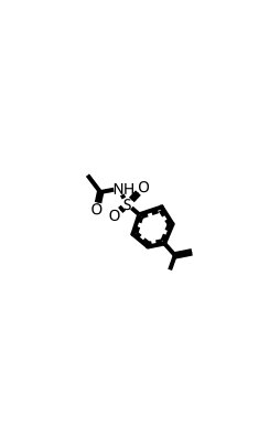 C=C(C)c1ccc(S(=O)(=O)NC(C)=O)cc1